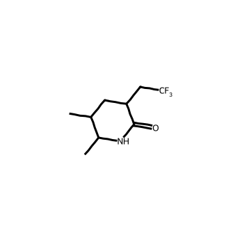 CC1CC(CC(F)(F)F)C(=O)NC1C